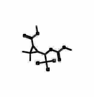 COC(=O)OC(C1C(C(=O)OC)C1(C)C)C(Cl)(Cl)Cl